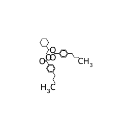 CCCCc1ccc(C(=O)OCC(OC(=O)c2ccc(CCCC)cc2)C2CCCCC2)cc1